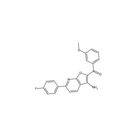 COc1cccc(C(=O)c2oc3nc(-c4ccc(F)cc4)ccc3c2N)c1